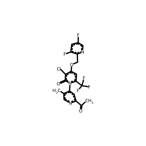 CC(=O)c1cc(-n2c(C(F)(F)F)cc(OCc3ncc(F)cc3F)c(Cl)c2=O)c(C)cn1